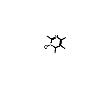 CC1=NC(C)=C(C)C(C)N1[O]